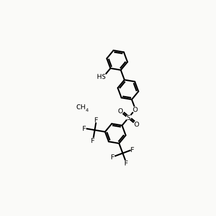 C.O=S(=O)(Oc1ccc(-c2ccccc2S)cc1)c1cc(C(F)(F)F)cc(C(F)(F)F)c1